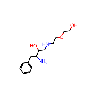 NC(Cc1ccccc1)C(O)CNCCOCCO